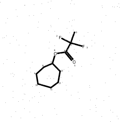 CC(F)(F)C(=O)OC1CCCCCC1